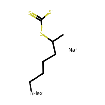 CCCCCCCCCCC(C)SC(=S)[S-].[Na+]